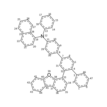 c1ccc(-c2ccc(-c3ccc(N(c4ccccc4)c4cccc5ccccc45)cc3)cc2-c2cccc3c2oc2ccccc23)cc1